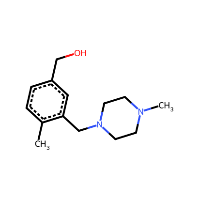 Cc1ccc(CO)cc1CN1CCN(C)CC1